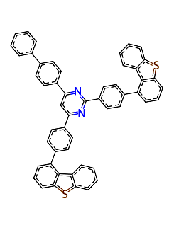 c1ccc(-c2ccc(-c3cc(-c4ccc(-c5cccc6sc7ccccc7c56)cc4)nc(-c4ccc(-c5cccc6sc7ccccc7c56)cc4)n3)cc2)cc1